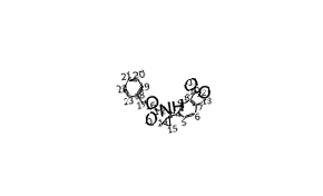 O=C(NC1(c2ccc3c(c2)C(=O)OC3)CC1)OCc1ccccc1